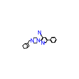 N#Cc1cc(-c2ccccc2)cnc1N1CCN(CC2CC3CCC2C3)CC1